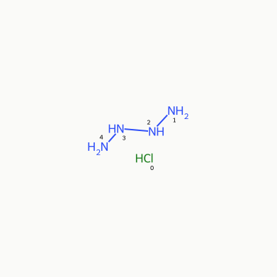 Cl.NNNN